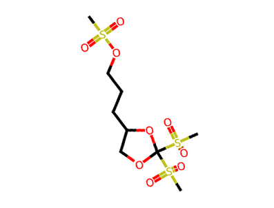 CS(=O)(=O)OCCCC1COC(S(C)(=O)=O)(S(C)(=O)=O)O1